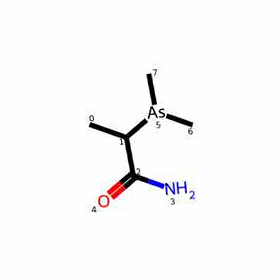 CC(C(N)=O)[As](C)C